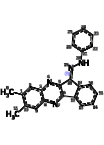 Cc1cc2nc3c(nc2cc1C)-c1ccccc1/C3=N\Nc1ccccc1